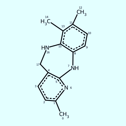 Cc1ccc2c(n1)Nc1ccc(C)c(C)c1NC2